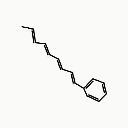 C/C=C/C=C/C=C/C=C/c1ccccc1